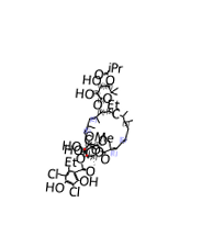 CCc1c(Cl)c(O)c(Cl)c(O)c1C(=O)O[C@H]1[C@H](O)[C@H](OC)[C@H](OC/C2=C\C=C\C[C@H](C)C(C)C[C@H](CC)[C@@H](O[C@H]3OC(C)(C)[C@H](OC(=O)C(C)C)[C@@H](O)[C@H]3O)/C(C)=C/C(C)=C/C[C@@H]([C@@H](C)O)OC2=O)O[C@@H]1C